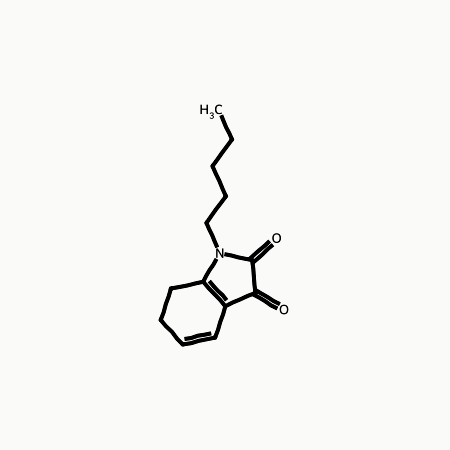 CCCCCN1C(=O)C(=O)C2=C1CCC=C2